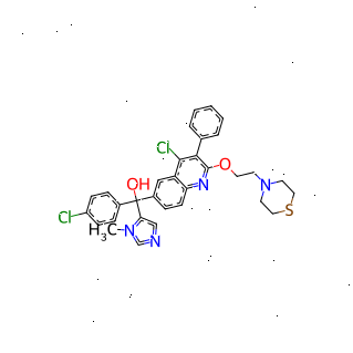 Cn1cncc1C(O)(c1ccc(Cl)cc1)c1ccc2nc(OCCN3CCSCC3)c(-c3ccccc3)c(Cl)c2c1